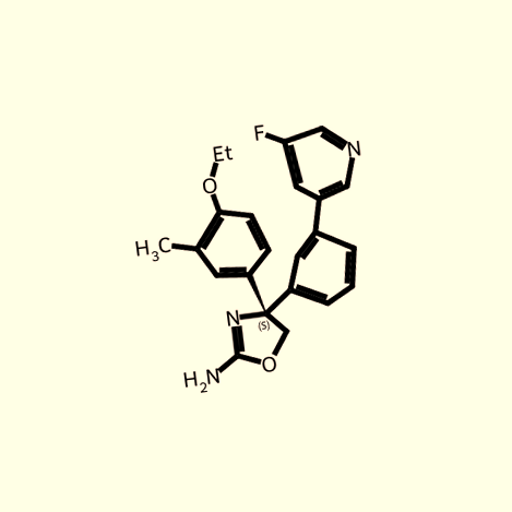 CCOc1ccc([C@@]2(c3cccc(-c4cncc(F)c4)c3)COC(N)=N2)cc1C